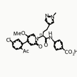 COc1cn([C@@H](CCc2cnn(C)c2)C(=O)Nc2ccc(C(=O)O)cc2)c(=O)cc1-c1cc(Cl)ccc1C(C)=O